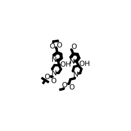 CC(C)(C)OC(=O)N1CCC(O)(c2ccc(C3OCCO3)cn2)CC1.CCOC(=O)CCN1CCC(O)(c2ccc(C=O)cn2)CC1